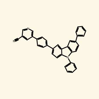 N#Cc1cncc(-c2ccc(-c3ccc4c(c3)c3cc(-c5ccccc5)ccc3n4-c3ccccc3)cc2)c1